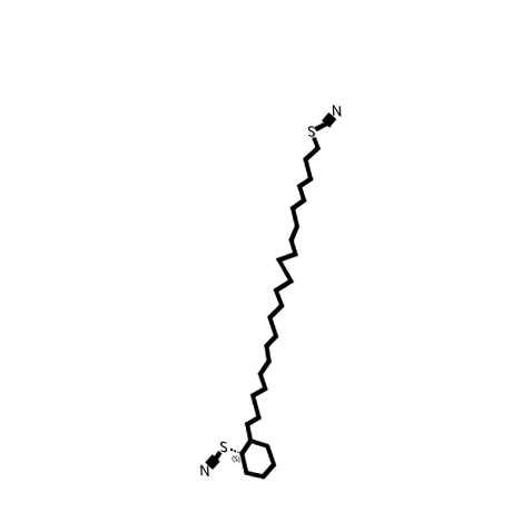 N#CSCCCCCCCCCCCCCCCCCCCCCCC1CCCC[C@@H]1SC#N